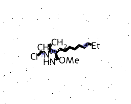 C=CC(/N=C(\C)Cl)=C(\CCCCC/C=C/CC)C(=N)OC